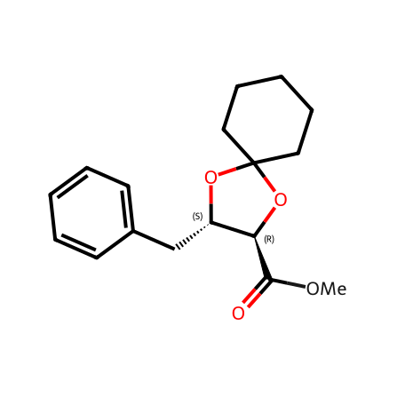 COC(=O)[C@@H]1OC2(CCCCC2)O[C@H]1Cc1ccccc1